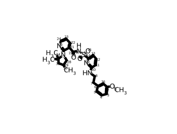 COc1cccc(CCNc2cccc(S(=O)(=O)NC(=O)c3cccnc3N3CC(C)CC3(C)C)n2)c1